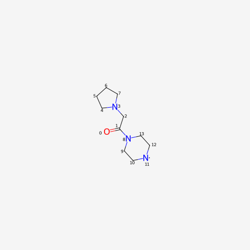 O=C(CN1CCCC1)N1CC[N]CC1